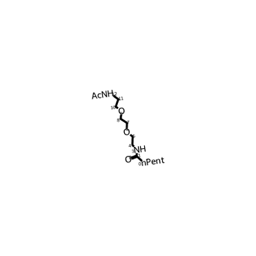 CCCCCC(=O)NCCOCCOCCNC(C)=O